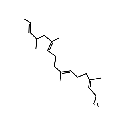 CC=CC(C)CC(C)=CCCC(C)=CCCC(C)=CCN